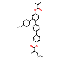 C=C(C)C(=O)Oc1ccc(-c2ccc(-c3ccc(OC(=O)C(=C)COC)cc3)cc2)c(C2CCC(CCC)CC2)c1